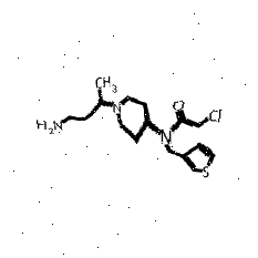 CC(CCN)N1CCC(N(Cc2ccsc2)C(=O)CCl)CC1